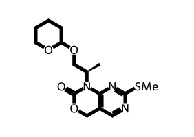 CSc1ncc2c(n1)N([C@H](C)COC1CCCCO1)C(=O)OC2